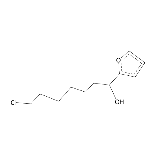 OC(CCCCCCCl)c1ccco1